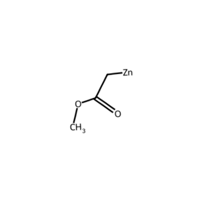 COC(=O)[CH2][Zn]